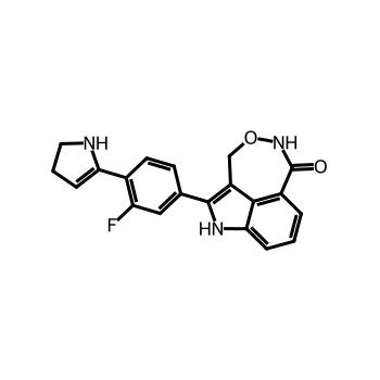 O=C1NOCc2c(-c3ccc(C4=CCCN4)c(F)c3)[nH]c3cccc1c23